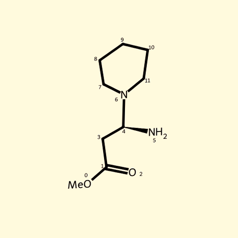 COC(=O)C[C@H](N)N1CCCCC1